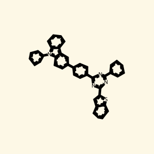 c1ccc(-c2nc(-c3ccc(-c4ccc5c(c4)c4ccccc4n5-c4ccccc4)cc3)nc(-c3cc4ccccc4s3)n2)cc1